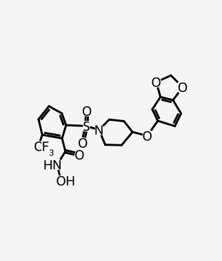 O=C(NO)c1c(C(F)(F)F)cccc1S(=O)(=O)N1CCC(Oc2ccc3c(c2)OCO3)CC1